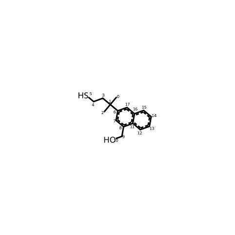 CC(C)(CCS)c1cc(CO)c2ccccc2c1